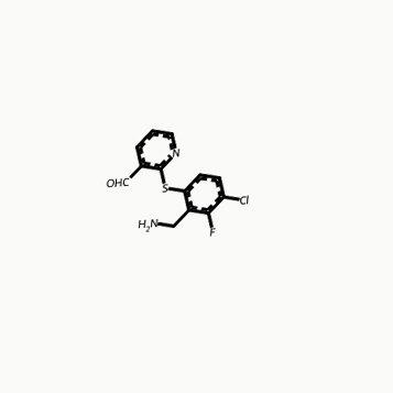 NCc1c(Sc2ncccc2C=O)ccc(Cl)c1F